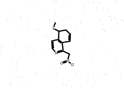 CSC1CC=Cc2c1ccnc2C[N+](=O)[O-]